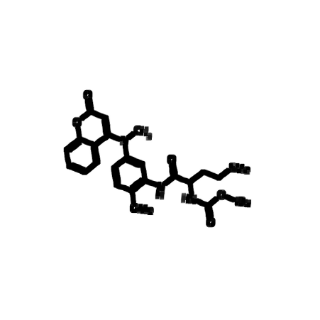 COc1ccc(N(C)c2cc(=O)oc3ccccc23)cc1NC(=O)C(CCSC)NC(=O)OC(C)(C)C